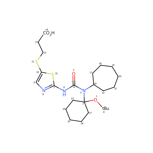 CC(C)(C)OC1(N(C(=O)Nc2ncc(SCCC(=O)O)s2)C2CCCCCC2)CCCCC1